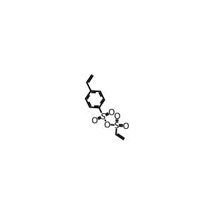 C=Cc1ccc(S(=O)(=O)OS(=O)(=O)C=C)cc1